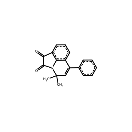 CC1(C)C=C(c2ccccc2)c2cccc3c2N1C(=O)C3=O